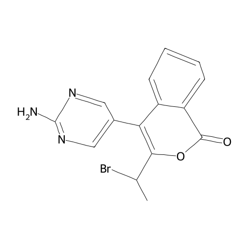 CC(Br)c1oc(=O)c2ccccc2c1-c1cnc(N)nc1